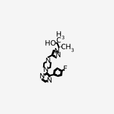 C[C@H](O)[C@H](C)n1cc(CN2CCN(c3nccnc3-c3ccc(F)cc3)CC2)cn1